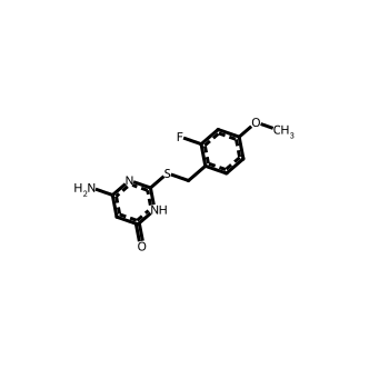 COc1ccc(CSc2nc(N)cc(=O)[nH]2)c(F)c1